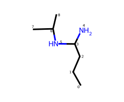 CCCC(N)NC(C)C